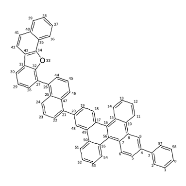 c1ccc(-c2ccc3c(c2)c2ccccc2c2c4ccc(-c5cccc6c(-c7cccc8c7oc7c9ccccc9ccc87)cccc56)cc4c4ccccc4c32)cc1